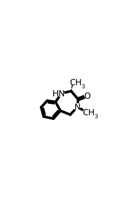 C[C@H]1Nc2ccccc2CN(C)C1=O